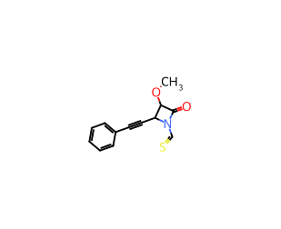 COC1C(=O)N(C=S)C1C#Cc1ccccc1